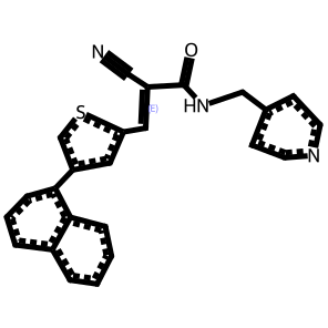 N#C/C(=C\c1cc(-c2cccc3ccccc23)cs1)C(=O)NCc1ccncc1